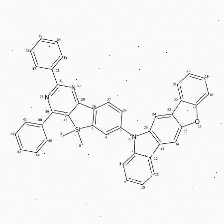 C[Si]1(C)c2cc(-n3c4ccccc4c4cc5oc6ccccc6c5cc43)ccc2-c2nc(-c3ccccc3)nc(-c3ccccc3)c21